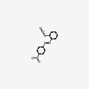 [N-]=[N+]=Nc1ccccc1N=Nc1ccc([N+](=O)[O-])cc1